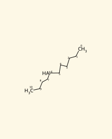 CCCCC[CH2][AlH][CH2]CCC